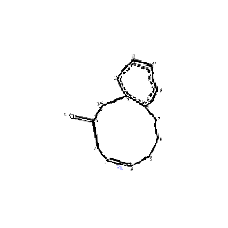 O=C1C/C=C\C[CH]Cc2ccccc2C1